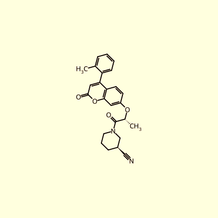 Cc1ccccc1-c1cc(=O)oc2cc(O[C@H](C)C(=O)N3CCC[C@H](C#N)C3)ccc12